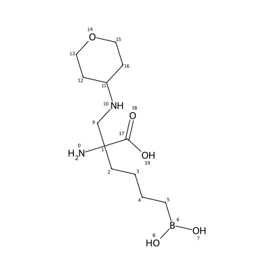 NC(CCCCB(O)O)(CNC1CCOCC1)C(=O)O